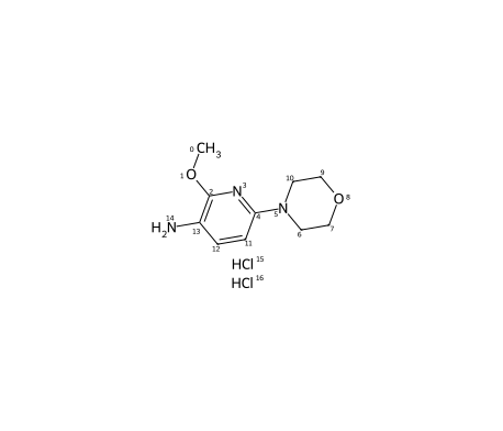 COc1nc(N2CCOCC2)ccc1N.Cl.Cl